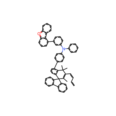 C=C/C=C\C1=C(C)C2(c3ccccc3-c3ccccc32)c2cccc(-c3ccc(N(c4ccccc4)c4cccc(-c5cccc6oc7ccccc7c56)c4)cc3)c2C1(C)C